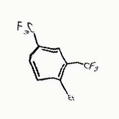 [CH2]Cc1ccc(C(F)(F)F)cc1C(F)(F)F